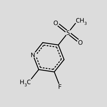 Cc1ncc(S(C)(=O)=O)cc1F